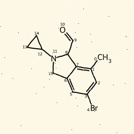 Cc1cc(Br)cc2c1C(C=O)N(C1CC1)C2